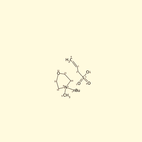 C=CCS(=O)(=O)[O-].CCCC[N+]1(C)CCOCC1